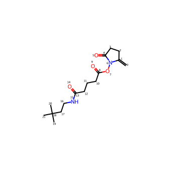 C=C1CCC(=O)N1OC(=O)CCCC(=O)NCCC(C)(C)C